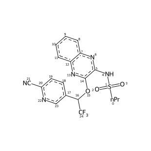 CCCS(=O)(=O)Nc1nc2ccccc2nc1OC(c1ccc(C#N)nc1)C(F)(F)F